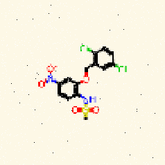 CS(=O)(=O)Nc1ccc([N+](=O)[O-])cc1OCc1cc(Cl)ccc1Cl